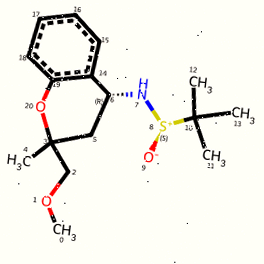 COCC1(C)C[C@@H](N[S@+]([O-])C(C)(C)C)c2ccccc2O1